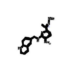 CN/N=C(\C)c1ccc(N)c(NCC2=CCC3NCC=CC3=C2)n1